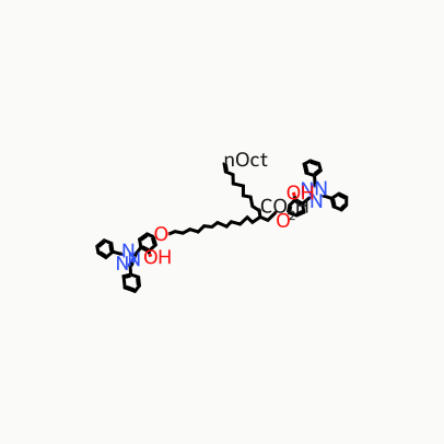 CCCCCCCC/C=C\CCCCCCC(C(=O)O)C(CCCCCCCCCCCCCOc1ccc(-c2nc(-c3ccccc3)nc(-c3ccccc3)n2)c(O)c1)CCOc1ccc(-c2nc(-c3ccccc3)nc(-c3ccccc3)n2)c(O)c1